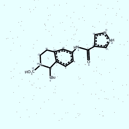 CC(C)(C)C1c2ccc(NC(=O)c3cn[nH]c3)cc2CCN1C(=O)O